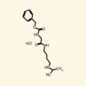 CC(C#N)NCCCCNC(=O)CNC(=O)OCc1ccccc1.Cl